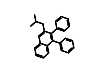 CC(C)Cc1cc2ccccc2c(-c2ccccc2)c1-c1ccccc1